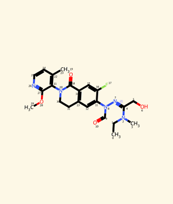 CCN(C)/C(CO)=N\N(C=O)c1cc2c(cc1F)C(=O)N(c1c(C)ccnc1OC)CC2